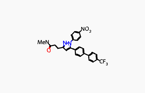 CNC(=O)CCc1cc(-c2ccc(-c3ccc(C(F)(F)F)cc3)cc2)n(-c2ccc([N+](=O)[O-])cc2)n1